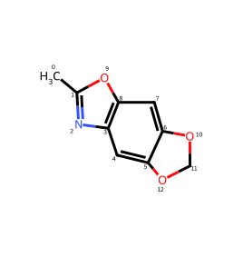 Cc1nc2cc3c(cc2o1)OCO3